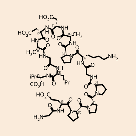 CC(C)C[C@H](NC(=O)CNC(=O)[C@H](C)NC(=O)[C@H](CC(=O)O)NC(=O)[C@H](CC(=O)O)NC(=O)[C@H](C)NC(=O)[C@@H]1CCCN1C(=O)[C@H](CCCCN)NC(=O)CNC(=O)[C@@H]1CCCN1C(=O)[C@@H]1CCCN1C(=O)[C@@H]1CCCN1C(=O)[C@H](CCC(=O)O)NC(=O)CN)C(=O)N[C@H](C(=O)O)C(C)C